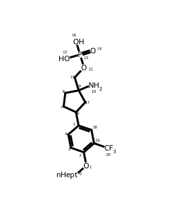 CCCCCCCOc1ccc(C2CCC(N)(COP(=O)(O)O)C2)cc1C(F)(F)F